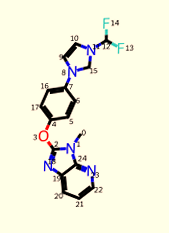 Cn1c(Oc2ccc(N3C=CN(C(F)F)C3)cc2)nc2cccnc21